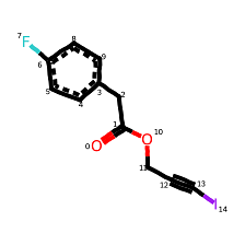 O=C(Cc1ccc(F)cc1)OCC#CI